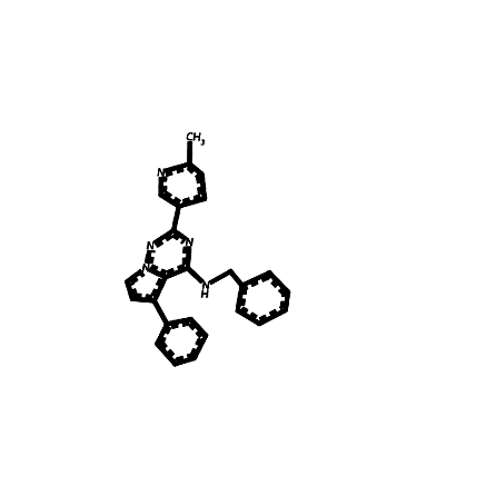 Cc1ccc(-c2nc(NCc3ccccc3)c3c(-c4ccccc4)ccn3n2)cn1